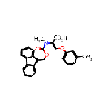 Cc1cccc(OCC(C(=O)O)N(C)C(=O)OCC2c3ccccc3-c3ccccc32)c1